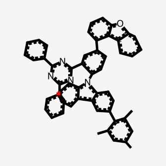 Cc1cc(C)c(-c2ccc3c(c2)c2ccccc2n3-c2ccc(-c3cccc4oc5ccccc5c34)cc2-c2nc(-c3ccccc3)nc(-c3ccccc3)n2)c(C)c1